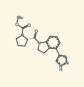 CC(C)(C)OC(=O)N1CCC[C@H]1C(=O)N1CCc2c(-c3cn[nH]c3)cccc21